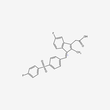 CC1=C(CC(=O)O)c2cc(F)ccc2/C1=C\c1ccc(S(=O)(=O)c2ccc(F)cc2)cc1